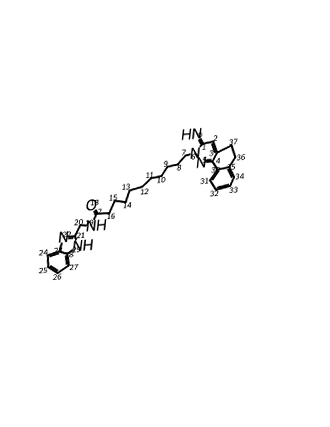 N=c1cc2c(nn1CCCCCCCCCCC(=O)NCc1nc3ccccc3[nH]1)-c1ccccc1CC2